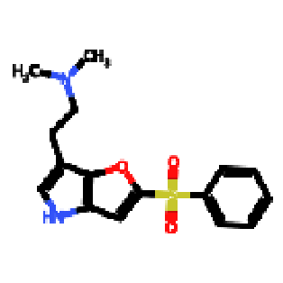 CN(C)CCc1c[nH]c2cc(S(=O)(=O)c3ccccc3)oc12